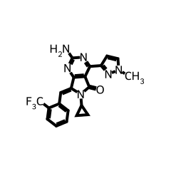 Cn1ccc(-c2nc(N)nc3c2C(=O)N(C2CC2)C3=Cc2ccccc2C(F)(F)F)n1